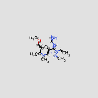 C=CN(N=C)C(=N/C=N)/C(C)=C/N(C)C(C)CCOC